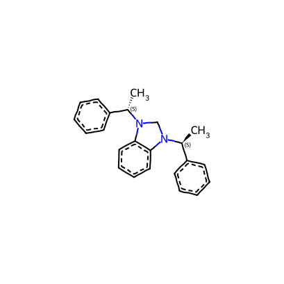 C[C@@H](c1ccccc1)N1CN([C@@H](C)c2ccccc2)c2ccccc21